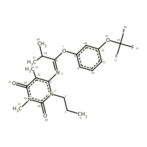 CCCn1c(/N=C(/Oc2cccc(OC(F)(F)F)c2)C(C)C)c(C)c(=O)n(C)c1=O